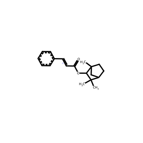 CC12CCC(C1)C(C)(C)C2OC(=O)/C=C/c1ccccc1